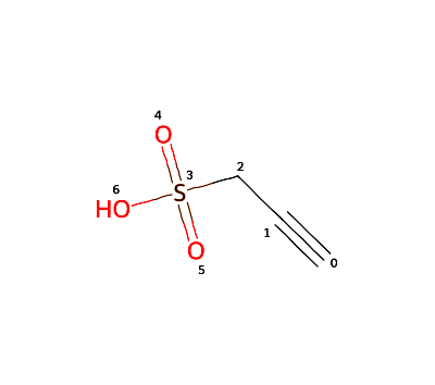 C#CCS(=O)(=O)O